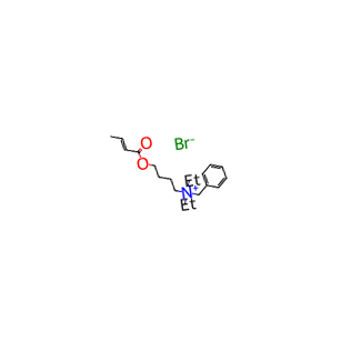 CC=CC(=O)OCCCC[N+](CC)(CC)Cc1ccccc1.[Br-]